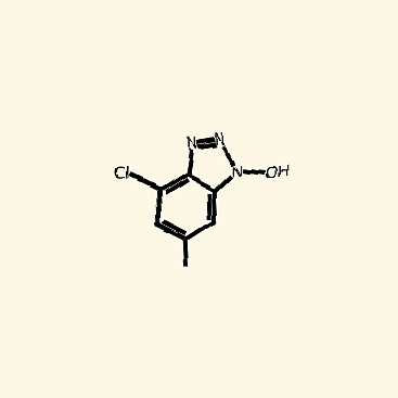 Cc1cc(Cl)c2nnn(O)c2c1